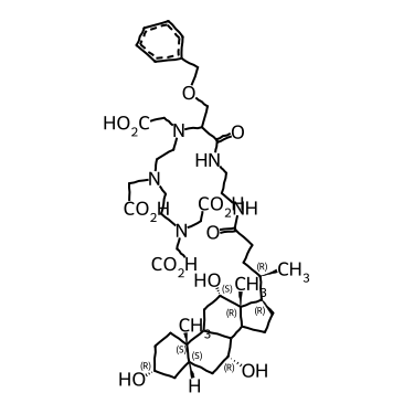 C[C@H](CCC(=O)NCCNC(=O)C(COCc1ccccc1)N(CCN(CCN(CC(=O)O)CC(=O)O)CC(=O)O)CC(=O)O)[C@H]1CCC2C3C(C[C@H](O)[C@@]21C)[C@@]1(C)CC[C@@H](O)C[C@H]1C[C@H]3O